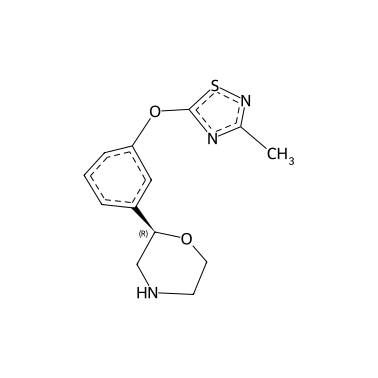 Cc1nsc(Oc2cccc([C@@H]3CNCCO3)c2)n1